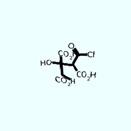 O=C(O)CC(O)(C(=O)O)C(C(=O)O)C(=O)Cl